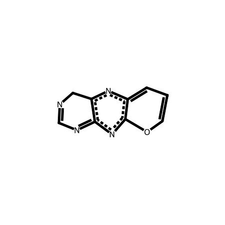 C1=COc2nc3c(nc2=C1)CN=CN=3